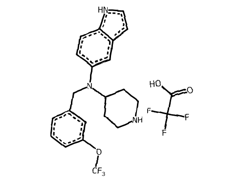 FC(F)(F)Oc1cccc(CN(c2ccc3[nH]ccc3c2)C2CCNCC2)c1.O=C(O)C(F)(F)F